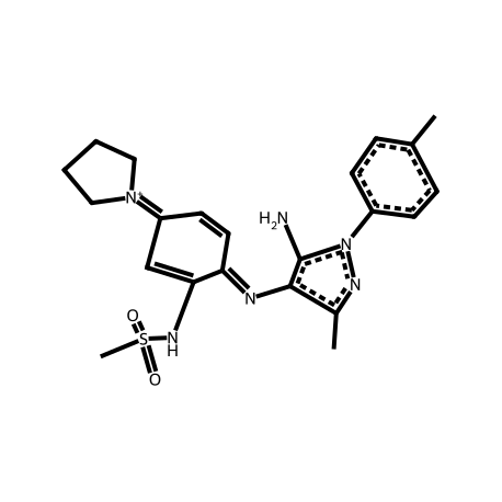 Cc1ccc(-n2nc(C)c(N=C3C=CC(=[N+]4CCCC4)C=C3NS(C)(=O)=O)c2N)cc1